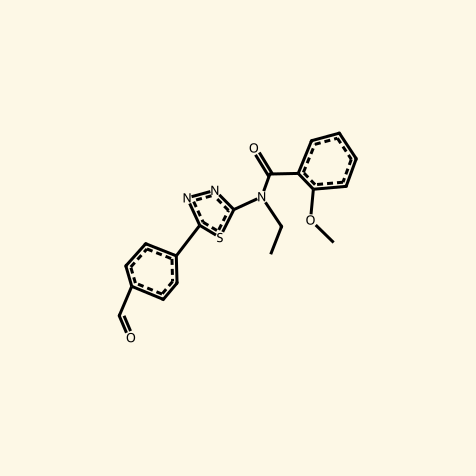 CCN(C(=O)c1ccccc1OC)c1nnc(-c2ccc(C=O)cc2)s1